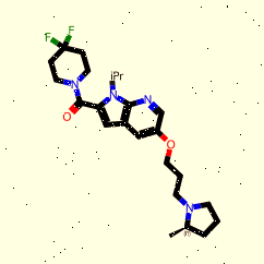 CC(C)n1c(C(=O)N2CCC(F)(F)CC2)cc2cc(OCCCN3CCC[C@H]3C)cnc21